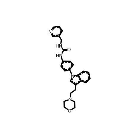 O=C(NCc1cccnc1)Nc1ccc(-n2cc(CCN3CCOCC3)c3ccccc32)cc1